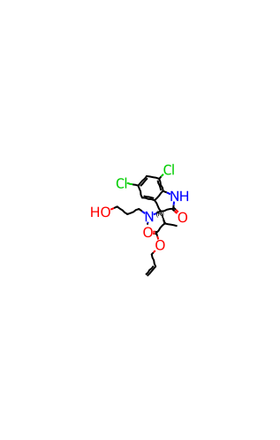 C=CCOC(=O)C(C)[C@]1(N(C)CCCO)C(=O)Nc2c(Cl)cc(Cl)cc21